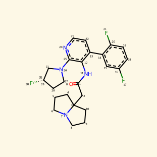 O=C(CC12CCCN1CCC2)Nc1c(-c2cc(F)ccc2F)ccnc1N1CC[C@H](F)C1